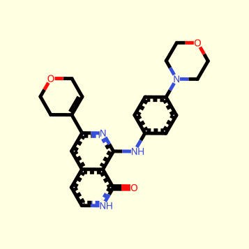 O=c1[nH]ccc2cc(C3=CCOCC3)nc(Nc3ccc(N4CCOCC4)cc3)c12